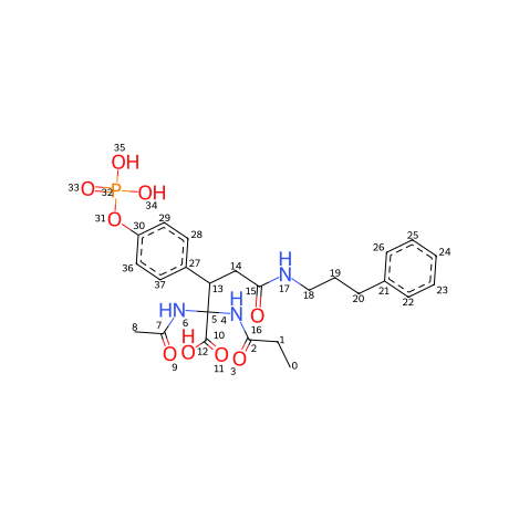 CCC(=O)NC(NC(C)=O)(C(=O)O)C(CC(=O)NCCCc1ccccc1)c1ccc(OP(=O)(O)O)cc1